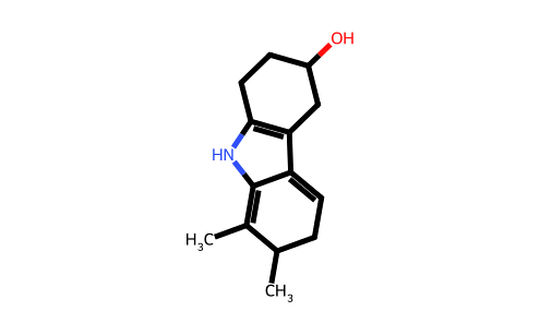 CC1=c2[nH]c3c(c2=CCC1C)CC(O)CC3